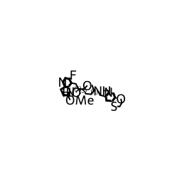 COc1ccc2ncc(F)c(C[C@H](O)[C@@H]3CC[C@@H](NCc4cc5c(cn4)OCCS5)CO3)c2n1